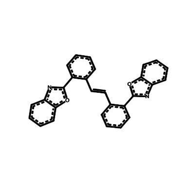 C(=C\c1ccccc1-c1nc2ccccc2o1)/c1ccccc1-c1nc2ccccc2o1